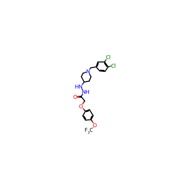 O=C(COc1ccc(OC(F)(F)F)cc1)NNC1CCN(Cc2ccc(Cl)c(Cl)c2)CC1